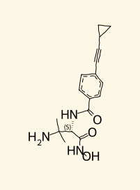 CC(C)(N)[C@H](NC(=O)c1ccc(C#CC2CC2)cc1)C(=O)NO